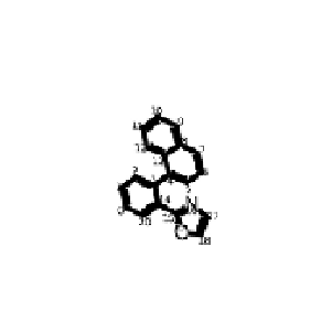 c1ccc(-c2cccc3ccccc23)c(-c2ncco2)c1